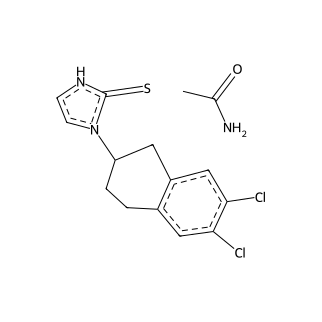 CC(N)=O.S=c1[nH]ccn1C1CCc2cc(Cl)c(Cl)cc2C1